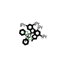 CC1=Cc2c(C(C)C)cc(C(C)C)cc2[CH]1[Zr]([Cl])([Cl])([CH]1C(C)=Cc2c(C(C)C)cc(C(C)C)cc21)[SiH](c1ccccc1)c1ccccc1